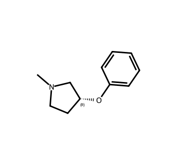 CN1CC[C@@H](Oc2ccccc2)C1